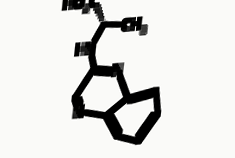 C[C@H](Nc1cnc2ccccc2n1)C(=O)O